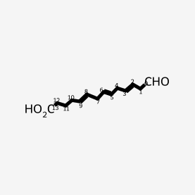 O=CCC=CCC=CCC=CCCCC(=O)O